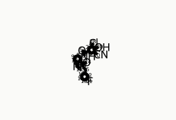 N#Cc1cc(C(=O)Nc2cccc3ncn(Cc4cccc(F)c4)c(=O)c23)cc(Cl)c1O